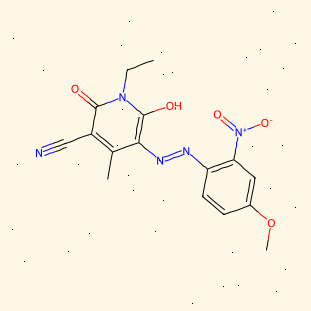 CCn1c(O)c(N=Nc2ccc(OC)cc2[N+](=O)[O-])c(C)c(C#N)c1=O